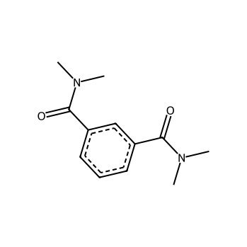 CN(C)C(=O)c1cccc(C(=O)N(C)C)c1